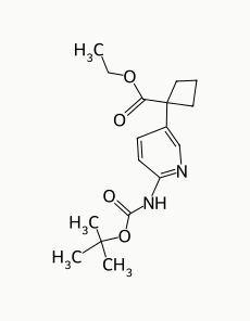 CCOC(=O)C1(c2ccc(NC(=O)OC(C)(C)C)nc2)CCC1